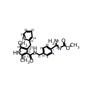 COC(=O)/N=C(\N)c1ccc(CNC(=O)c2c(C)[nH]c(C)c2Cc2ccccn2)cc1